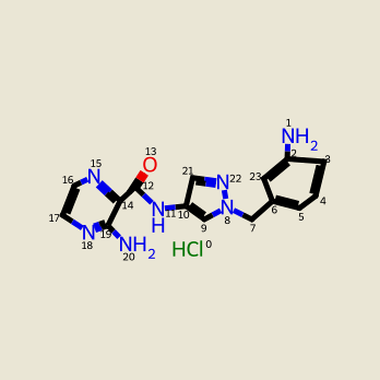 Cl.Nc1cccc(Cn2cc(NC(=O)c3nccnc3N)cn2)c1